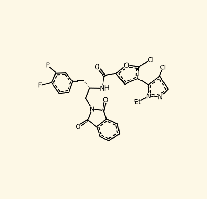 CCn1ncc(Cl)c1-c1cc(C(=O)N[C@@H](Cc2ccc(F)c(F)c2)CN2C(=O)c3ccccc3C2=O)oc1Cl